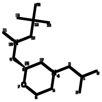 CC(C)CN1CCO[C@H](CN(C)CC(C)(C)C)C1